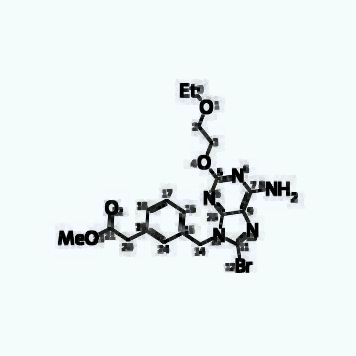 CCOCCOc1nc(N)c2nc(Br)n(Cc3cccc(CC(=O)OC)c3)c2n1